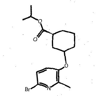 Cc1nc(Br)ccc1OC1CCC[C@H](C(=O)OC(C)C)C1